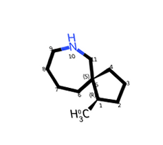 C[C@@H]1CCC[C@]12CCCCNC2